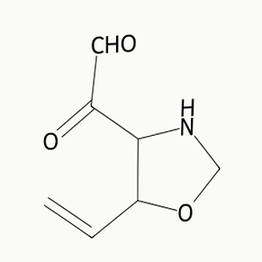 C=CC1OCNC1C(=O)C=O